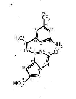 C[C@@H](Nc1nc(Cl)nn2cc(C(=O)O)cc12)c1cc(N)cc(C(F)(F)F)c1